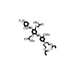 C=CC(=O)OCCN(CCOC(=O)C=C)c1ccc(/N=N/c2cc(OCC(CC)CCCC)c(/N=N/c3ccc([N+](=O)[O-])cc3C#N)cc2OCC(CC)CCCC)c(OC)c1